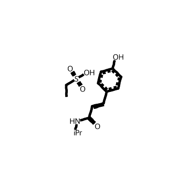 CC(C)NC(=O)/C=C/c1ccc(O)cc1.CCS(=O)(=O)O